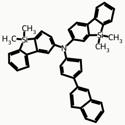 C[Si]1(C)c2ccccc2-c2cc(N(c3ccc(-c4ccc5ccccc5c4)cc3)c3ccc4c(c3)[Si](C)(C)c3ccccc3-4)ccc21